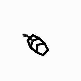 CC(C)(C)N1C2CCC1C1CCC2C1